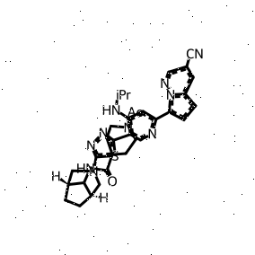 CC(=O)N1CCC(C(=O)NC2[C@@H]3CC[C@@H]2CN(c2nnc(-c4cnc(-c5ccc6cc(C#N)cnn56)cc4NC(C)C)s2)C3)CC1